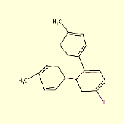 CC1=CCC(C2CC(I)=CC=C2C2=CC=C(C)CC2)C=C1